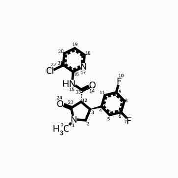 CN1C[C@H](c2cc(F)cc(F)c2)[C@@H](C(=O)Nc2ncccc2Cl)C1=O